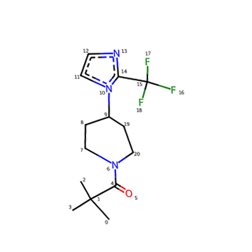 CC(C)(C)C(=O)N1CCC(n2ccnc2C(F)(F)F)CC1